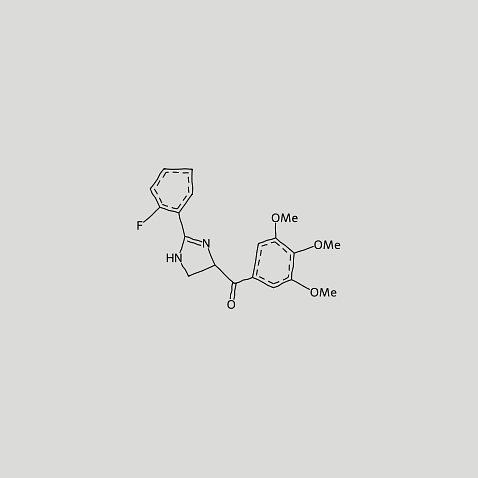 COc1cc(C(=O)C2CNC(c3ccccc3F)=N2)cc(OC)c1OC